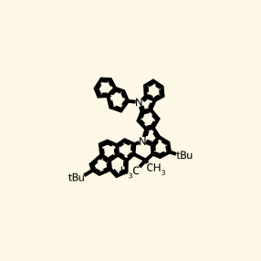 CC(C)(C)c1cc2ccc3cc4c(c5ccc(c1)c2c35)C(C)(C)c1cc(C(C)(C)C)cc2c3cc5c6ccccc6n(-c6ccc7ccccc7c6)c5cc3n-4c12